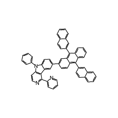 c1ccc(-n2c3ccc(-c4ccc5c(-c6ccc7ccccc7c6)c6ccccc6c(-c6ccc7ccccc7c6)c5c4)cc3c3c(-c4ccccn4)nccc32)cc1